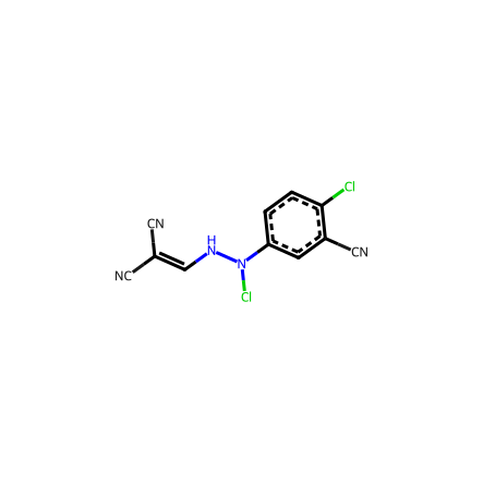 N#CC(C#N)=CNN(Cl)c1ccc(Cl)c(C#N)c1